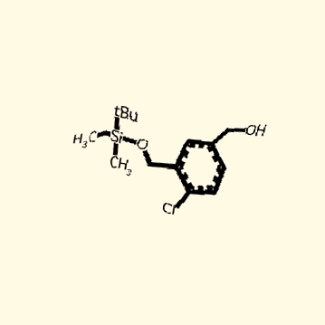 CC(C)(C)[Si](C)(C)OCc1cc(CO)ccc1Cl